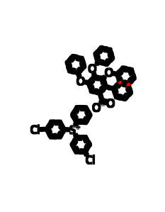 Clc1ccc([S+](c2ccccc2)c2ccc(Cl)cc2)cc1.O=C([O-])c1cc(Oc2ccccc2)c(Oc2ccccc2)c(Oc2ccccc2)c1-c1ccccc1